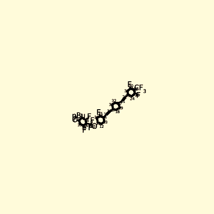 CCCCOc1cc(F)c(C(F)(F)Oc2ccc(C#Cc3ccc(C#Cc4cc(F)c(C(F)(F)F)c(F)c4)cc3)c(F)c2)c(F)c1